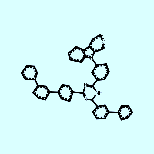 c1ccc(-c2cccc(-c3ccc(C4=NC(c5cccc(-c6ccccc6)c5)NC(c5cccc(-n6c7ccccc7c7ccccc76)c5)=N4)cc3)c2)cc1